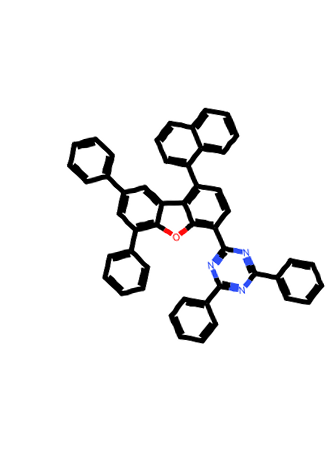 c1ccc(-c2cc(-c3ccccc3)c3oc4c(-c5nc(-c6ccccc6)nc(-c6ccccc6)n5)ccc(-c5cccc6ccccc56)c4c3c2)cc1